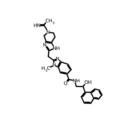 CC(=N)N1CCc2[nH]c(Cc3nc4ccc(C(=O)NCC(O)c5cccc6ccccc56)cc4n3C)nc2C1